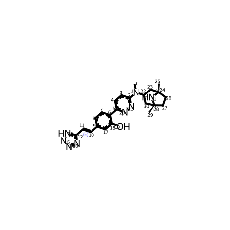 CN(c1ccc(-c2ccc(/C=C/c3nnn[nH]3)cc2O)nn1)C1C[C@]2(C)CC[C@](C)(C1)N2